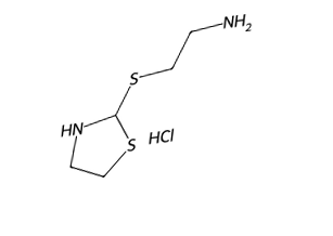 Cl.NCCSC1NCCS1